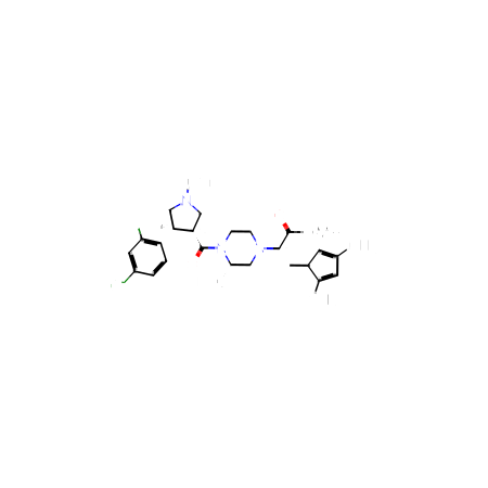 COC(=O)[C@H](CC1C=C(C)C=C1C)N1CCN(C(=O)[C@@H]2CN(C(C)(C)C)C[C@H]2c2ccc(Cl)cc2F)[C@@H](C)C1